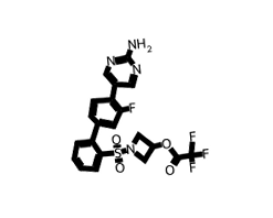 Nc1ncc(-c2ccc(-c3ccccc3S(=O)(=O)N3CC(OC(=O)C(F)(F)F)C3)cc2F)cn1